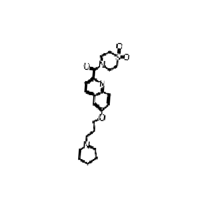 O=C(c1ccc2cc(OCCCN3CCCCC3)ccc2n1)N1CCS(=O)(=O)CC1